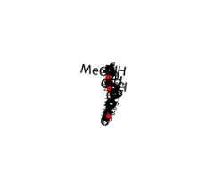 COc1cc(C)[nH]c(=O)c1CNC(=O)c1cc(Cl)c2c(c1C)OC(C1CCC(N3CC4COCC4C3)CC1)CO2